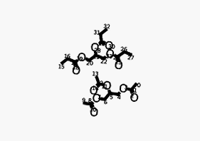 CC(=O)OCC(COC(C)=O)OC(C)=O.CCC(=O)OCC(COC(=O)CC)OC(=O)CC